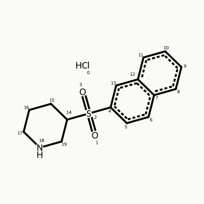 Cl.O=S(=O)(c1ccc2ccccc2c1)C1CCCNC1